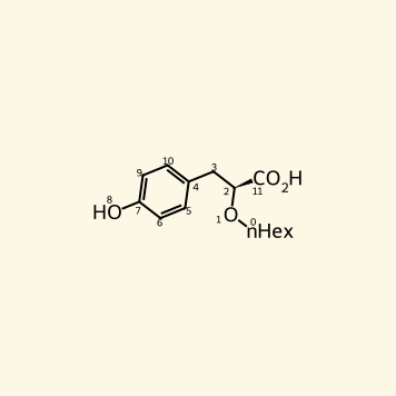 CCCCCCO[C@@H](Cc1ccc(O)cc1)C(=O)O